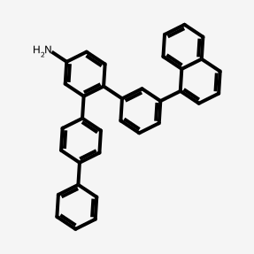 Nc1ccc(-c2cccc(-c3cccc4ccccc34)c2)c(-c2ccc(-c3ccccc3)cc2)c1